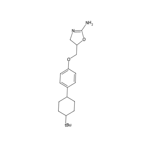 CC(C)(C)C1CCC(c2ccc(OCC3CN=C(N)O3)cc2)CC1